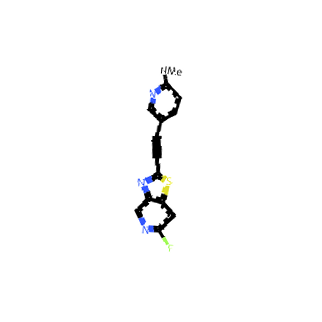 CNc1ccc(C#Cc2nc3cnc(F)cc3s2)cn1